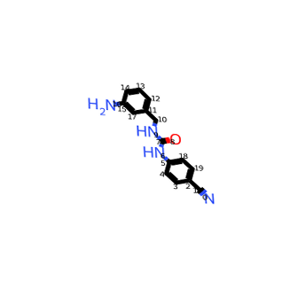 N#Cc1ccc(NC(=O)NCc2cccc(N)c2)cc1